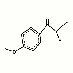 COc1ccc(NC(F)F)cc1